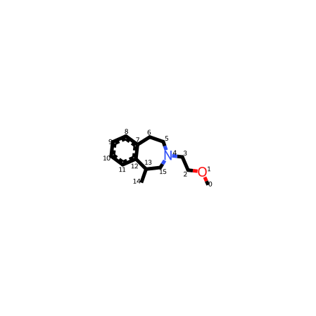 COCCN1CCc2ccccc2C(C)C1